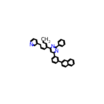 C=C/C=C(\C=C/Cc1cccnc1)c1cc(-c2cccc(-c3ccc4ccccc4c3)c2)nc(-c2ccccc2)n1